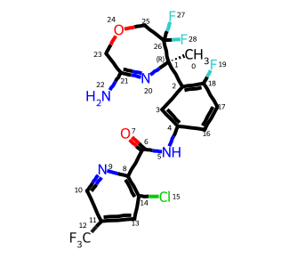 C[C@]1(c2cc(NC(=O)c3ncc(C(F)(F)F)cc3Cl)ccc2F)N=C(N)COCC1(F)F